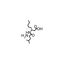 CCC[C@@H](C)C[C@@H](CC(=O)O)NC(=O)[C@@H](N)CC(C)C